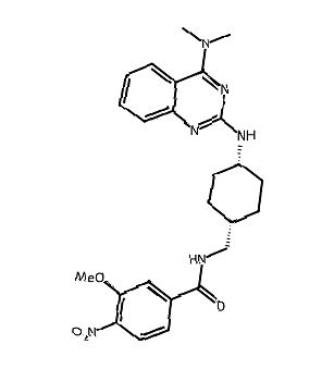 COc1cc(C(=O)NC[C@H]2CC[C@@H](Nc3nc(N(C)C)c4ccccc4n3)CC2)ccc1[N+](=O)[O-]